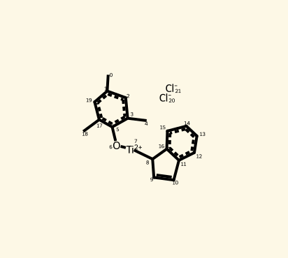 Cc1cc(C)c([O][Ti+2][CH]2C=Cc3ccccc32)c(C)c1.[Cl-].[Cl-]